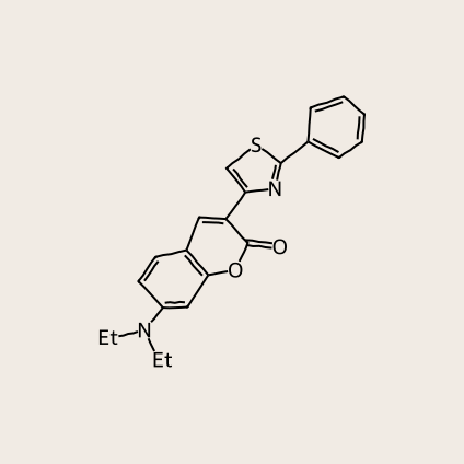 CCN(CC)c1ccc2cc(-c3csc(-c4ccccc4)n3)c(=O)oc2c1